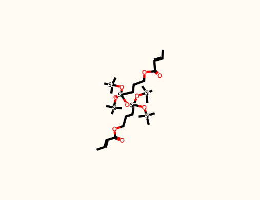 CC=CC(=O)OCCC[Si](O[Si](C)(C)C)(O[Si](C)(C)C)O[Si](CCCOC(=O)C=CC)(O[Si](C)(C)C)O[Si](C)(C)C